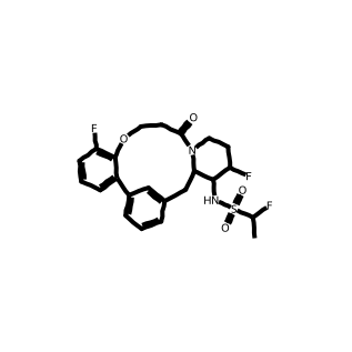 CC(F)S(=O)(=O)NC1C(F)CCN2C(=O)CCOc3c(F)cccc3-c3cccc(c3)CC12